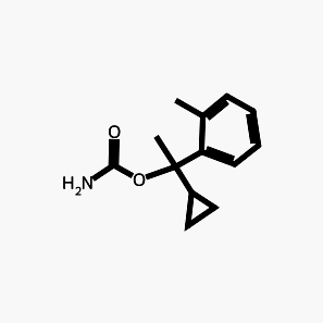 Cc1ccccc1C(C)(OC(N)=O)C1CC1